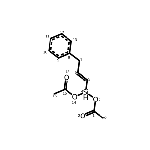 CC(=O)O[SiH](C=CCc1ccccc1)OC(C)=O